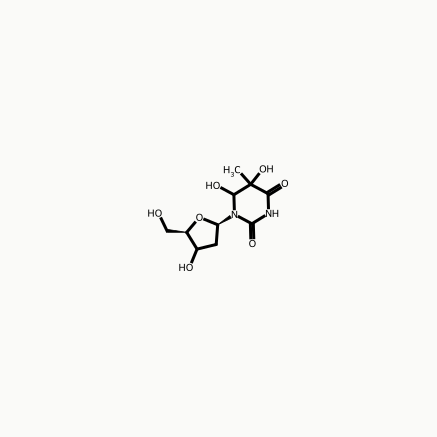 CC1(O)C(=O)NC(=O)N([C@H]2CC(O)[C@@H](CO)O2)C1O